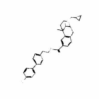 [C-]#[N+]c1ccc(-c2ccc(CCNC(=O)c3ccc4c(c3)C3(C)CCN(CC5CC5)C(C4)C3C)cc2)cc1